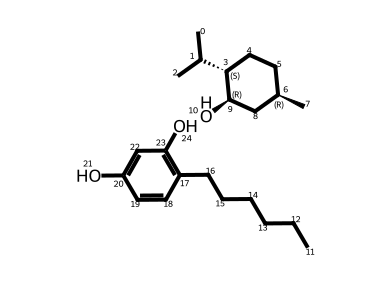 CC(C)[C@@H]1CC[C@@H](C)C[C@H]1O.CCCCCCc1ccc(O)cc1O